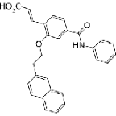 O=C(O)C=Cc1ccc(C(=O)Nc2ccccc2)cc1OCCc1ccc2ccccc2c1